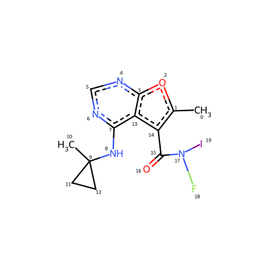 Cc1oc2ncnc(NC3(C)CC3)c2c1C(=O)N(F)I